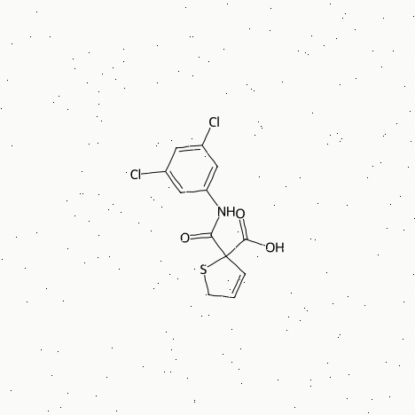 O=C(O)C1(C(=O)Nc2cc(Cl)cc(Cl)c2)C=CCS1